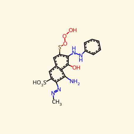 CN=Nc1c(S(=O)(=O)O)cc2cc(SOOO)c(NNc3ccccc3)c(O)c2c1N